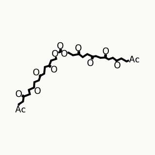 CC(=O)CCC(=O)CCC(=O)CCC(=O)CCC(=O)CCOC(=O)OCCC(=O)CCC(=O)CCC(=O)CCC(=O)CCC(C)=O